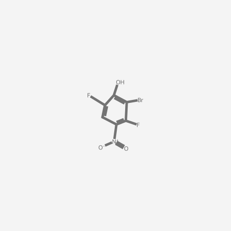 O=[N+]([O-])c1cc(F)c(O)c(Br)c1F